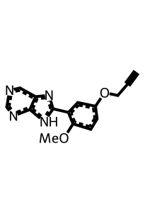 C#CCOc1ccc(OC)c(-c2nc3cncnc3[nH]2)c1